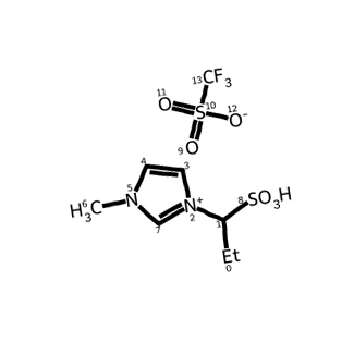 CCC([n+]1ccn(C)c1)S(=O)(=O)O.O=S(=O)([O-])C(F)(F)F